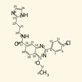 CCOc1nc(-c2ccc(Cl)cc2)nc2cc(C(=O)NCCCc3ncc[nH]3)ccc12